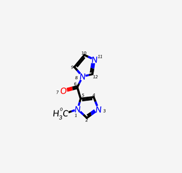 Cn1cncc1C(=O)n1ccnc1